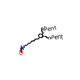 CCCCCC=CC1=CC(CCCCCCCCCN=C=O)CCC1C=CCCCCC